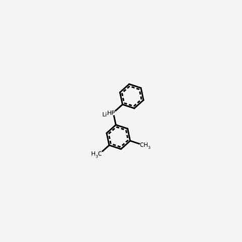 Cc1cc(C)cc(Pc2ccccc2)c1.[Li]